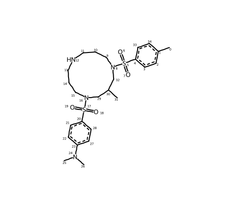 Cc1ccc(S(=O)(=O)N2CCCNCCCN(S(=O)(=O)c3ccc(N(C)C)cc3)CC(C)C2)cc1